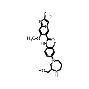 COc1cc2nc(C)cn2cc1C(=O)Nc1ccc(N2CCCNC(CO)C2)cc1F